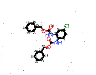 O=C(Nc1ccc(Cl)cc1NC(=O)OCc1ccccc1)OCc1ccccc1